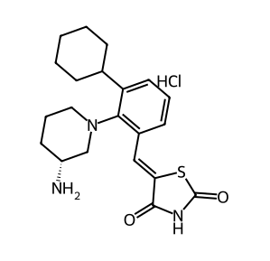 Cl.N[C@@H]1CCCN(c2c(C=C3SC(=O)NC3=O)cccc2C2CCCCC2)C1